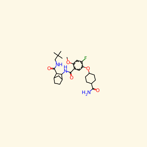 COc1cc(F)c(OC2CCC(C(N)=O)CC2)cc1C(=O)NC1C2CCC(C2)C1C(=O)NCC(C)(C)C